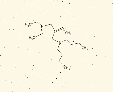 C/C=C(/CN(CC)CC)CN(CCCC)CCCC